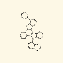 c1ccc(-c2cccc3c2sc2c4ccccc4c4c(c5ccccc5n4-c4cccc5ccccc45)c32)cc1